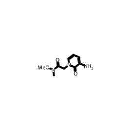 CON(C)C(=O)Cn1cccc(N)c1=O